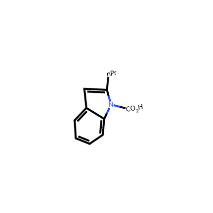 CCCc1cc2ccccc2n1C(=O)O